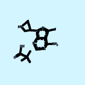 CC(C)(C)C(=O)O.Nc1ncnc2c1c(I)nn2C1CNC1